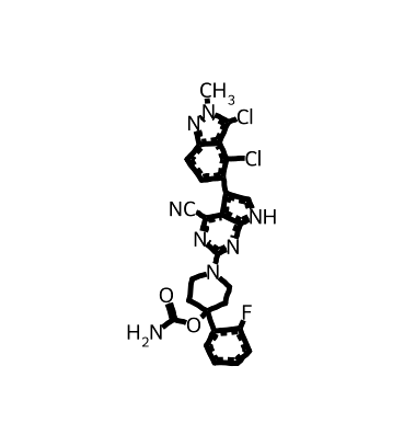 Cn1nc2ccc(-c3c[nH]c4nc(N5CCC(OC(N)=O)(c6ccccc6F)CC5)nc(C#N)c34)c(Cl)c2c1Cl